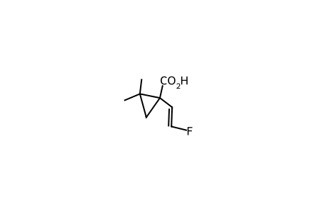 CC1(C)CC1(C=CF)C(=O)O